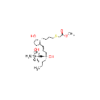 CCCCC(O)(C#C[Si](C)(C)C)CC=C[C@@H]1[C@@H](CCCCSCC(=O)OC)[C@@H](O)C[C@H]1O